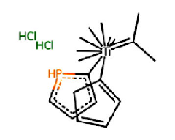 C[C](C)=[Ti]([CH3])([CH3])([CH3])([CH3])([CH3])([CH3])([CH3])([C]1=CC=CC1)[c]1ccc[pH]1.Cl.Cl